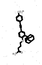 NC(=O)CCCOc1ccc(C#Cc2ccc(C(=O)O)cc2)cc1C12CC3CC(CC(C3)C1)C2